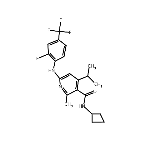 Cc1nc(Nc2ccc(C(F)(F)F)cc2F)cc(C(C)C)c1C(=O)NC1CCC1